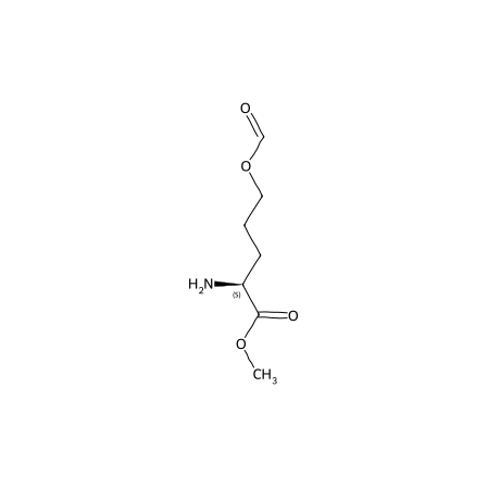 COC(=O)[C@@H](N)CCCOC=O